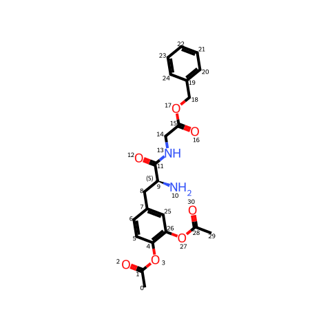 CC(=O)Oc1ccc(C[C@H](N)C(=O)NCC(=O)OCc2ccccc2)cc1OC(C)=O